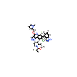 C=C(F)C(=O)N1CC[C@H](n2ncc3c(OCC4CCCN4C)nc4c(F)c(-c5c(C)c(C)cc6[nH]ncc56)c(Cl)cc4c32)C[C@H]1CC#N